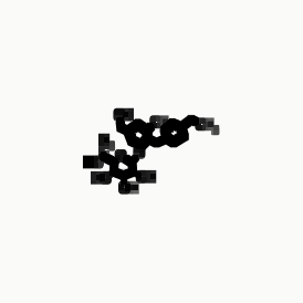 CCc1ccc(Cc2c(C)cc(CO)cc2O[C@@H]2O[C@H]([C@@H](C)O)[C@@H](O)[C@H](O)[C@H]2O)cc1